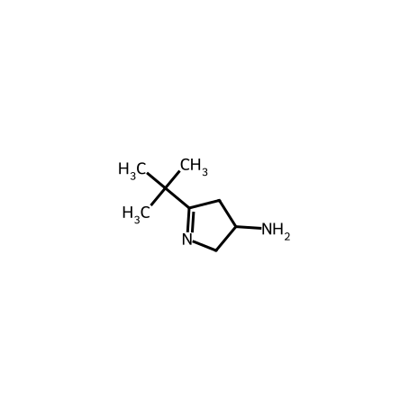 CC(C)(C)C1=NCC(N)C1